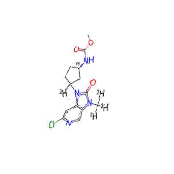 [2H]C([2H])([2H])n1c(=O)n(C2([2H])CC[C@@H](NC(=O)OC)C2)c2cc(Cl)ncc21